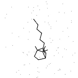 CCCCCCC1=CC2CCC1(C)C2(C)C